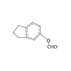 O=[C]Oc1ccc2c(c1)CCC2